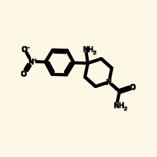 NC(=O)N1CCC(N)(c2ccc([N+](=O)[O-])cc2)CC1